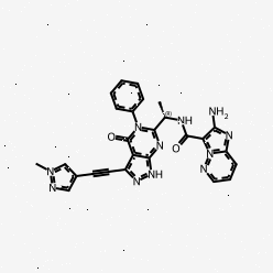 C[C@@H](NC(=O)c1c(N)nc2cccnn12)c1nc2[nH]nc(C#Cc3cnn(C)c3)c2c(=O)n1-c1ccccc1